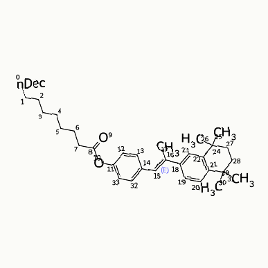 CCCCCCCCCCCCCCCCCC(=O)Oc1ccc(/C=C(\C)c2ccc3c(c2)C(C)(C)CCC3(C)C)cc1